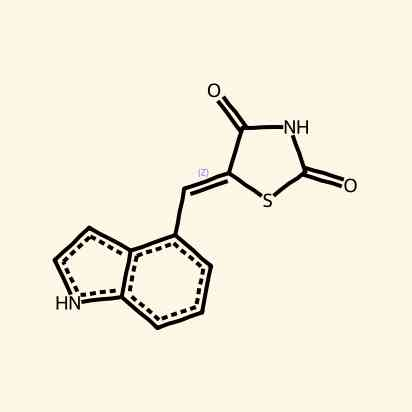 O=C1NC(=O)/C(=C/c2cccc3[nH]ccc23)S1